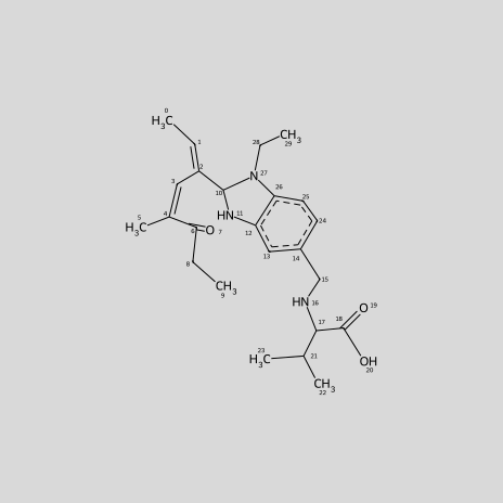 C/C=C(\C=C(\C)C(=O)CC)C1Nc2cc(CNC(C(=O)O)C(C)C)ccc2N1CC